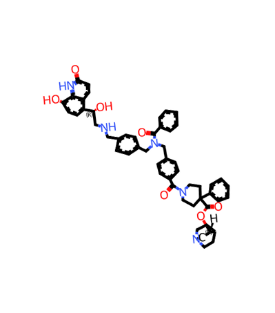 O=C(c1ccc(CN(Cc2ccc(CNC[C@H](O)c3ccc(O)c4[nH]c(=O)ccc34)cc2)C(=O)c2ccccc2)cc1)N1CCC(C(=O)O[C@H]2CN3CCC2CC3)(c2ccccc2)CC1